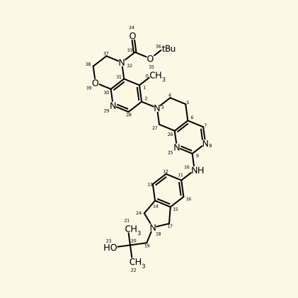 Cc1c(N2CCc3cnc(Nc4ccc5c(c4)CN(CC(C)(C)O)C5)nc3C2)cnc2c1N(C(=O)OC(C)(C)C)CCO2